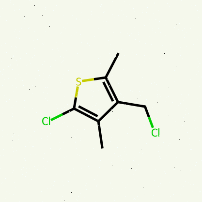 Cc1sc(Cl)c(C)c1CCl